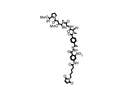 CCC(C)C(C(CC(=O)N1CCCC1C(OC)C(C)C)OC)N(C)C(=O)CNC(=O)C(C(C)C)N(C)C(=O)c1ccc(/C(C)=N/NC(=O)c2ccc(NC(=O)CCCCCN3C(=O)C=CC3=O)cc2[N+](=O)[O-])cc1